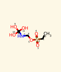 CCS(=O)(=O)OCNC(O)(O)O